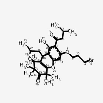 CC(C)CC(=O)c1c(OCCCBr)cc2c(c1O)C(CC(C)C)C1=C(O2)C(C)(C)C(=O)C(C)(C)C1=O